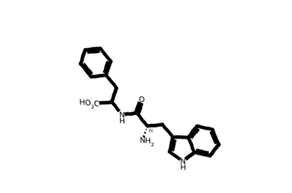 N[C@@H](Cc1c[nH]c2ccccc12)C(=O)NC(Cc1ccccc1)C(=O)O